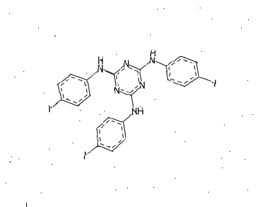 Ic1ccc(Nc2nc(Nc3ccc(I)cc3)nc(Nc3ccc(I)cc3)n2)cc1